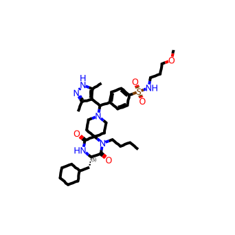 CCCCN1C(=O)[C@H](CC2CCCCC2)NC(=O)C12CCN(C(c1ccc(S(=O)(=O)NCCCOC)cc1)c1c(C)n[nH]c1C)CC2